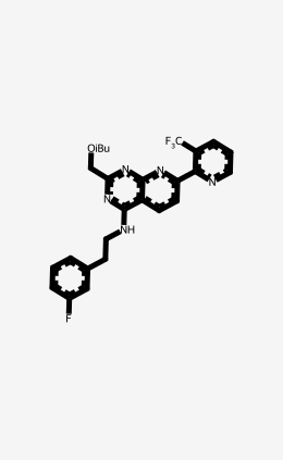 CC(C)COCc1nc(NCCc2cccc(F)c2)c2ccc(-c3ncccc3C(F)(F)F)nc2n1